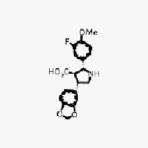 COc1ccc([C@@H]2NC[C@H](c3ccc4c(c3)OCO4)[C@H]2C(=O)O)cc1F